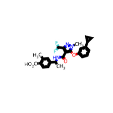 Cc1cc(C(C)NC(=O)c2c(C(F)F)nn(C)c2Oc2cccc(C3CC3)c2)ccc1C(=O)O